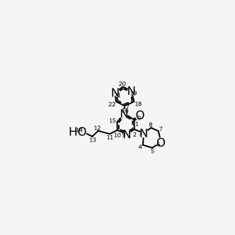 O=c1c(N2CCOCC2)nc(CCCO)cn1-c1cncnc1